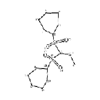 CSC(S(=O)(=O)C1CCCCC1)S(=O)(=O)C1CCCCC1